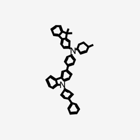 CC1C=CC(N(c2ccc(-c3ccc4c(c3)c3ccccc3n4-c3ccc(-c4ccccc4)cc3)cc2)c2ccc3c(c2)C(C)(C)c2ccccc2-3)CC1